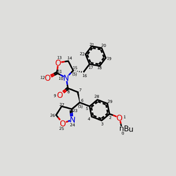 CCCCOc1ccc([C@H](CC(=O)N2C(=O)OC[C@@H]2Cc2ccccc2)C2=NOCC2)cc1